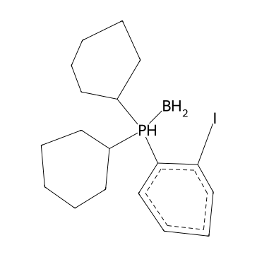 B[PH](c1ccccc1I)(C1CCCCC1)C1CCCCC1